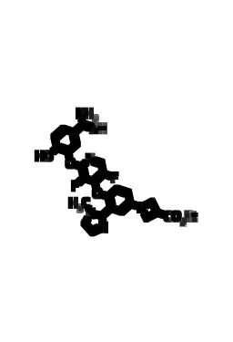 CCOC(=O)C1CN(c2ccc(Oc3c(F)cnc(Oc4cc(C(=N)N)ccc4O)c3F)c(C3N=CCN3C)c2)C1